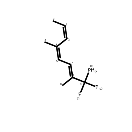 C\C=C/C(C)=C\C=C(/C)C(F)(F)P